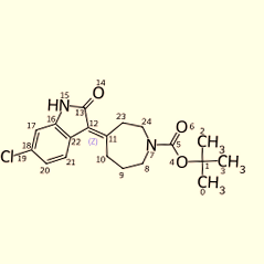 CC(C)(C)OC(=O)N1CCC/C(=C2/C(=O)Nc3cc(Cl)ccc32)CC1